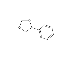 [c]1ccccc1C1COCO1